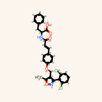 Cc1onc(-c2c(Cl)cccc2Cl)c1COc1ccc(/C=C/C(=O)NC(Cc2ccccc2)C(=O)O)cc1